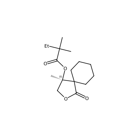 CCC(C)(C)C(=O)O[C@]1(C)COC(=O)C12CCCCC2